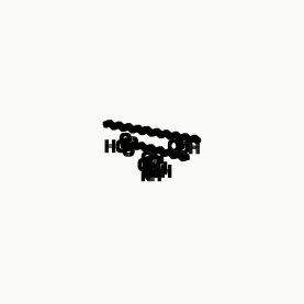 CCCCCCCCC=CCCCCCCC(CCCC)C(=O)O.CCCCCCCCCCCCOS(=O)(=O)O.O=S(=O)(O)O.[KH].[NaH]